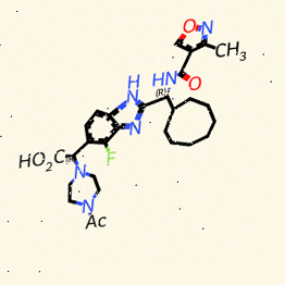 CC(=O)N1CCN([C@@H](C(=O)O)c2ccc3[nH]c([C@H](NC(=O)c4conc4C)C4CCCCCCC4)nc3c2F)CC1